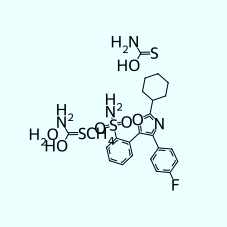 C.NC(O)=S.NC(O)=S.NS(=O)(=O)c1ccccc1-c1oc(C2CCCCC2)nc1-c1ccc(F)cc1.O